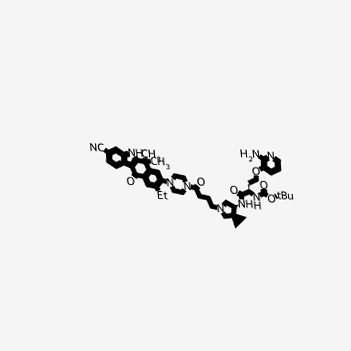 CCc1cc2c(cc1N1CCN(C(=O)CCCN3C[C@H](NC(=O)[C@H](CCOc4cccnc4N)NC(=O)OC(C)(C)C)C4(CC4)C3)CC1)C(C)(C)c1[nH]c3cc(C#N)ccc3c1C2=O